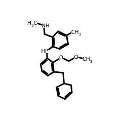 CNCc1cc(C)ccc1Pc1cccc(CC2C=CC=CC2)c1OCOC